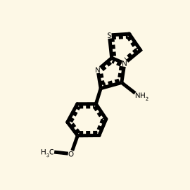 COc1ccc(-c2nc3sccn3c2N)cc1